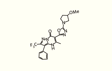 COC1CCN(c2nnc(-c3c(C)[nH]c4c(-c5ccccc5)c(C(F)(F)F)nn4c3=O)o2)C1